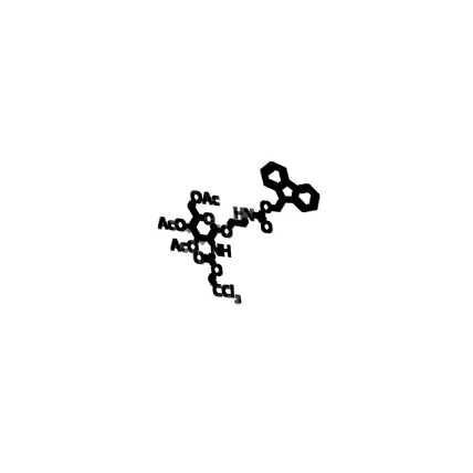 CC(=O)OCC1O[C@@H](OCCNC(=O)OCC2c3ccccc3-c3ccccc32)C(NC(=O)OCC(Cl)(Cl)Cl)[C@@H](OC(C)=O)[C@H]1OC(C)=O